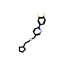 Fc1ccc(-c2ccc(CCCCC3CCCC3)cn2)cc1F